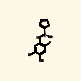 CC(C)[C@H](Nc1nc(Cl)c(C#N)cc1F)c1cccs1